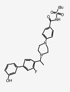 CC(c1ccc(-c2cccc(O)c2)cc1F)N1CCN(c2ccc(C(=O)NS(=O)(=O)C(C)(C)C)cc2)CC1